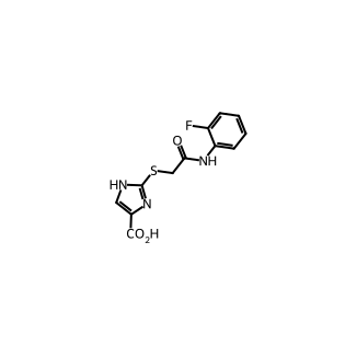 O=C(CSc1nc(C(=O)O)c[nH]1)Nc1ccccc1F